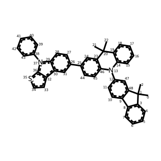 CC1(C)c2ccccc2-c2ccc(N3c4ccccc4C(C)(C)c4cc(-c5ccc6c(c5)c5ccsc5n6-c5ccccc5)ccc43)cc21